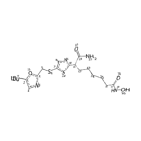 CC(C)(C)c1cnc(CSc2cnc(C(CCCCCC(=O)NO)C(N)=O)s2)o1